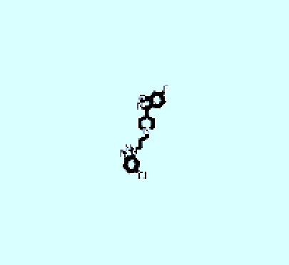 Fc1ccc2c(C3CCN(CCCn4nnc5ccc(Cl)cc54)CC3)noc2c1